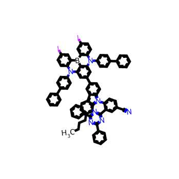 CCCCc1ccc2c3cc(-c4cc5c6c(c4)N(c4ccc(-c7ccccc7)cc4)c4ccc(I)cc4B6c4cc(I)ccc4N5c4ccc(-c5ccccc5)cc4)ccc3n(-c3ccc(C#N)cc3-c3nc(-c4ccccc4)nc(-c4ccccc4)n3)c2c1